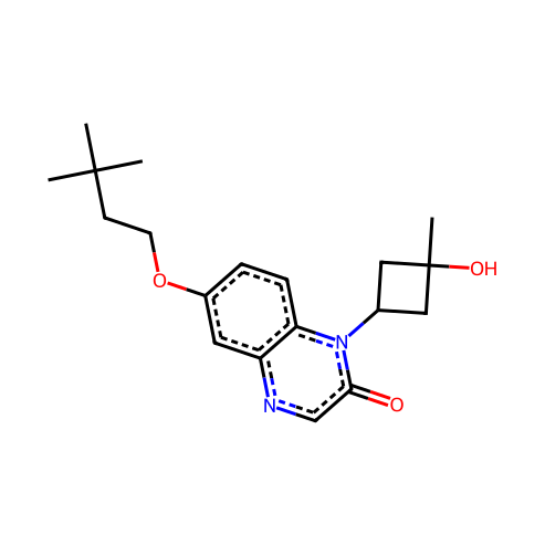 CC(C)(C)CCOc1ccc2c(c1)ncc(=O)n2C1CC(C)(O)C1